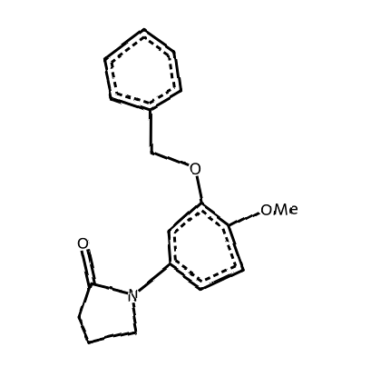 COc1ccc(N2CCCC2=O)cc1OCc1ccccc1